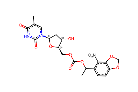 Cc1cn([C@H]2C[C@H](O)[C@@H](COC(=O)OC(C)c3ccc4c(c3[N+](=O)[O-])OCO4)O2)c(=O)[nH]c1=O